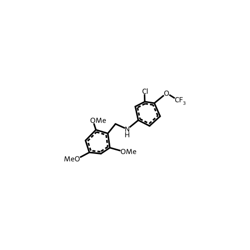 COc1cc(OC)c(CNc2ccc(OC(F)(F)F)c(Cl)c2)c(OC)c1